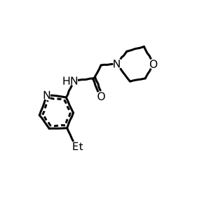 CCc1ccnc(NC(=O)CN2CCOCC2)c1